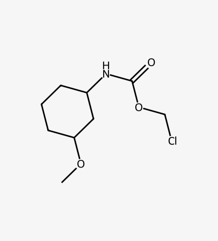 COC1CCCC(NC(=O)OCCl)C1